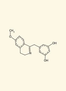 COc1ccc2c(c1)CCN=C2Cc1cc(O)cc(O)c1